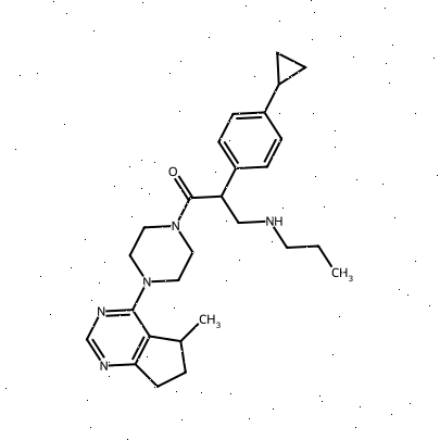 CCCNCC(C(=O)N1CCN(c2ncnc3c2C(C)CC3)CC1)c1ccc(C2CC2)cc1